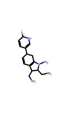 CCC1C(CN)C2=C(CC(C3=CNC(F)C=C3)C=C2)N1C